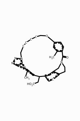 Cc1cc2ccc1C(=O)N1CCc3ccc(cc3C1)C(CC(=O)O)c1cnc3c(nnn3CCCCCCO2)c1C